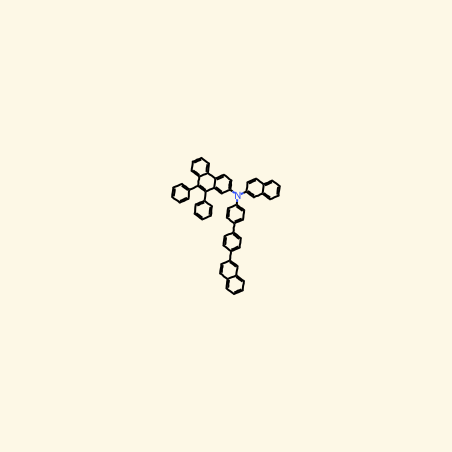 c1ccc(-c2c(-c3ccccc3)c3cc(N(c4ccc(-c5ccc(-c6ccc7ccccc7c6)cc5)cc4)c4ccc5ccccc5c4)ccc3c3ccccc23)cc1